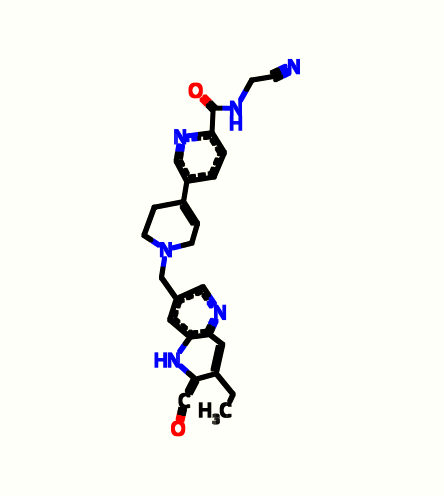 CCC1=Cc2ncc(CN3CC=C(c4ccc(C(=O)NCC#N)nc4)CC3)cc2NC1=C=O